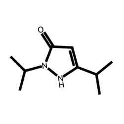 CC(C)c1cc(=O)n(C(C)C)[nH]1